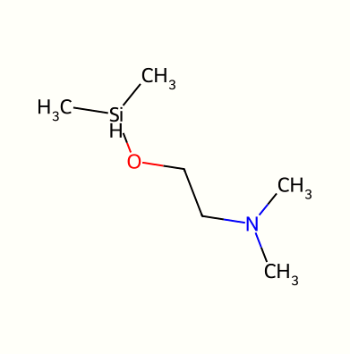 CN(C)CCO[SiH](C)C